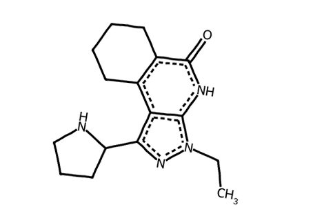 CCn1nc(C2CCCN2)c2c3c(c(=O)[nH]c21)CCCC3